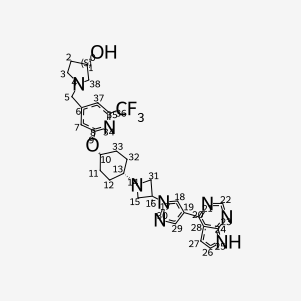 O[C@H]1CCN(Cc2cc(O[C@H]3CC[C@@H](N4C[C](n5cc(-c6ncnc7[nH]ccc67)cn5)C4)CC3)nc(C(F)(F)F)c2)C1